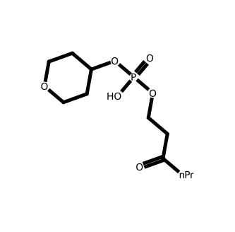 CCCC(=O)CCOP(=O)(O)OC1CCOCC1